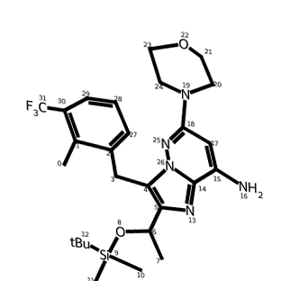 Cc1c(Cc2c(C(C)O[Si](C)(C)C(C)(C)C)nc3c(N)cc(N4CCOCC4)nn23)cccc1C(F)(F)F